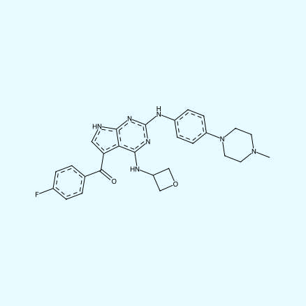 CN1CCN(c2ccc(Nc3nc(NC4COC4)c4c(C(=O)c5ccc(F)cc5)c[nH]c4n3)cc2)CC1